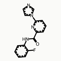 O=C(Nc1ccccc1F)c1cccc(-n2ccnc2)n1